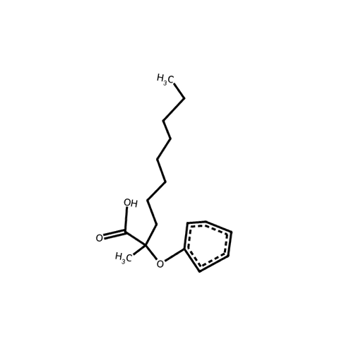 CCCCCCCCC(C)(Oc1ccccc1)C(=O)O